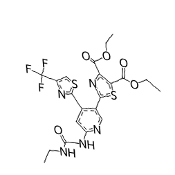 CCNC(=O)Nc1cc(-c2nc(C(F)(F)F)cs2)c(-c2nc(C(=O)OCC)c(C(=O)OCC)s2)cn1